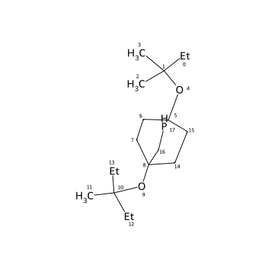 CCC(C)(C)OC12CCC(OC(C)(CC)CC)(CC1)CP2